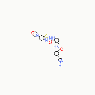 O=C(NCc1cccc(C(=O)Nc2nc3c(s2)C[C@@H](N2CCOCC2)CC3)c1)c1cccc(-c2cn[nH]c2)c1